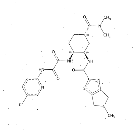 CN1Cc2nc(C(=O)N[C@@H]3C[C@@H](C(=O)N(C)C)CC[C@@H]3NC(=O)C(=O)Nc3ccc(Cl)cn3)sc2C1